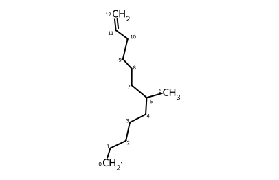 [CH2]CCCCC(C)CCCCC=C